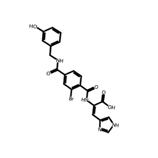 O=C(O)C(=Cc1c[nH]cn1)NC(=O)c1ccc(C(=O)NCc2cccc(O)c2)cc1Br